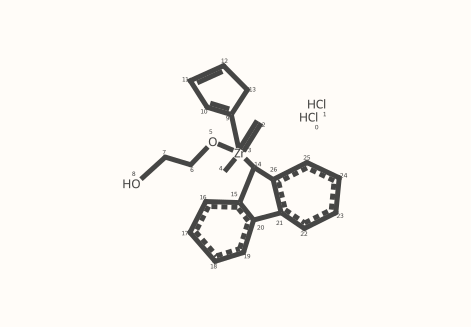 Cl.Cl.[CH2]=[Zr]([CH3])([O]CCO)([C]1=CC=CC1)[CH]1c2ccccc2-c2ccccc21